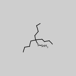 CCCCC(CCCC)(CCCC)[S][SnH3]